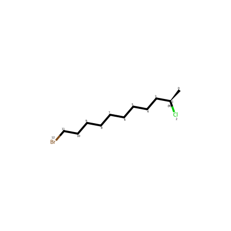 C[C@@H](Cl)CCCCCCCCCBr